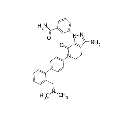 CN(C)Cc1ccccc1-c1ccc(N2CCc3c(N)nn(-c4cccc(C(N)=O)c4)c3C2=O)cc1